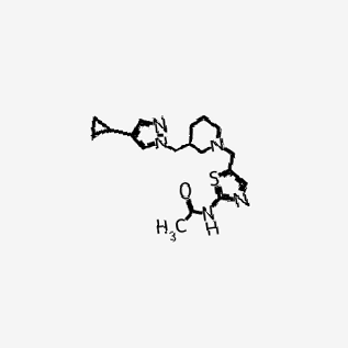 CC(=O)Nc1ncc(CN2CCCC(Cn3cc(C4CC4)cn3)C2)s1